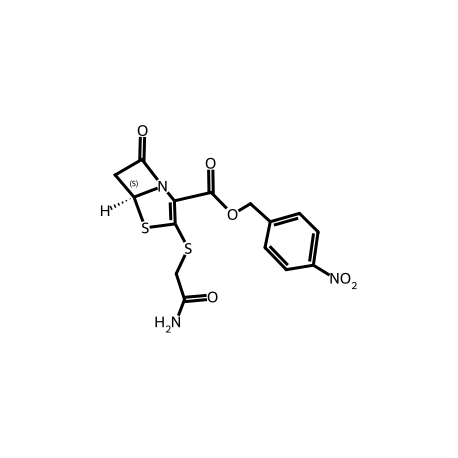 NC(=O)CSC1=C(C(=O)OCc2ccc([N+](=O)[O-])cc2)N2C(=O)C[C@@H]2S1